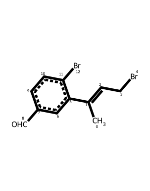 CC(=CCBr)c1cc(C=O)ccc1Br